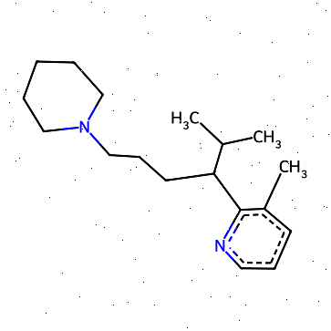 Cc1cccnc1C(CCCN1CCCCC1)C(C)C